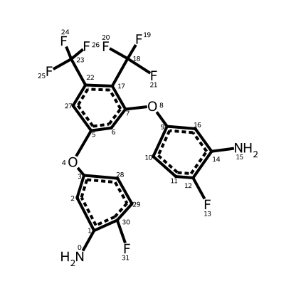 Nc1cc(Oc2cc(Oc3ccc(F)c(N)c3)c(C(F)(F)F)c(C(F)(F)F)c2)ccc1F